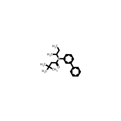 CCC(C)N(C(=O)CC(C)(C)C)c1cccc(-c2ccccc2)c1